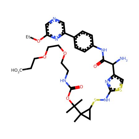 CCOc1cncc(-c2ccc(NC(=O)C(N)c3csc(NSC4CC4(C)C(C)(C)OC(=O)NCCOCCOCCC(=O)O)n3)cc2)n1